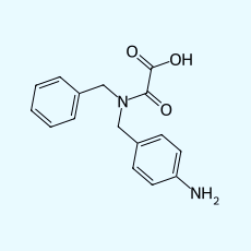 Nc1ccc(CN(Cc2ccccc2)C(=O)C(=O)O)cc1